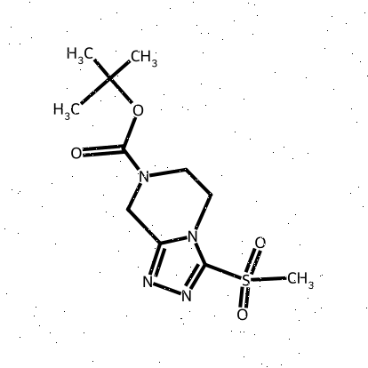 CC(C)(C)OC(=O)N1CCn2c(nnc2S(C)(=O)=O)C1